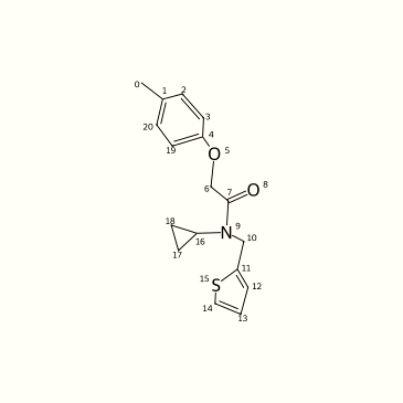 Cc1ccc(OCC(=O)N(Cc2cccs2)C2CC2)cc1